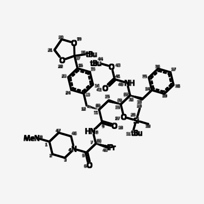 CNC1CCN(C(=O)[C@@H](NC(=O)[C@H](Cc2ccc(C3(C(C)(C)C)OCCO3)cc2)C[C@H](O[Si](C)(C)C(C)(C)C)[C@H](Cc2ccccc2)NC(=O)OC(C)(C)C)C(C)C)CC1